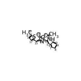 CC(=O)NC(=Cc1ccccc1)C1=NC(=Cc2ccc(C)s2)C(=O)O1